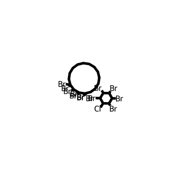 BrC1(Br)CCCCCCCCCCCCC(Br)(Br)C(Br)(Br)C1(Br)Br.ClC1C(Br)C(Br)C(Br)C(Br)C1Br